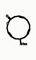 CCCCCCC1C/C=C\CC/C=C\CC(=O)OC/C=C\C1